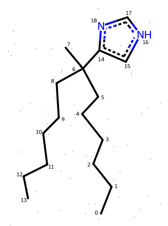 CCCCCCC(C)(CCCCCC)c1c[nH]cn1